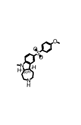 COc1ccc(S(=O)(=O)c2ccc3c(c2)[C@H]2CCNCC[C@H]2N3C)cc1